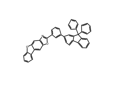 c1ccc(C2(c3ccccc3)c3ccccc3-c3ccc(-c4cccc(-c5nc6cc7oc8ccccc8c7cc6o5)c4)cc32)cc1